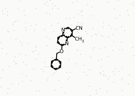 Cc1c(C#N)cnc2ccc(OCc3ccccc3)nc12